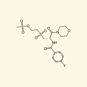 CS(=O)(=O)OCCS(=O)(=O)C[C@@H](NC(=O)c1ccc(F)cc1)C(=O)N1CCOCC1